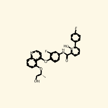 C[C@H](CO)Oc1cccc2nccc(Oc3ccc(NC(=O)c4cccc(-c5ccc(F)cc5)[n+]4O)cc3F)c12